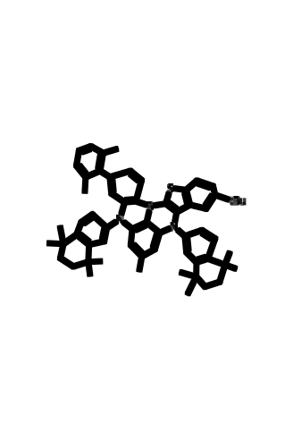 Cc1cc2c3c(c1)N(c1ccc4c(c1)C(C)(C)CCC4(C)C)c1c(sc4ccc(C(C)(C)C)cc14)B3c1ccc(-c3c(C)cccc3C)cc1N2c1ccc2c(c1)C(C)(C)CCC2(C)C